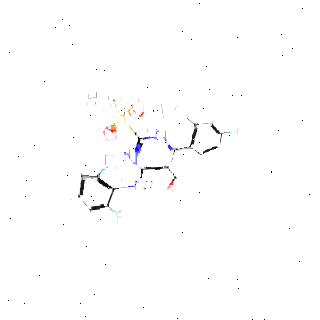 Cc1cc(F)ccc1-c1nc(S(C)(=O)=O)nc(Nc2c(F)cccc2F)c1C=O